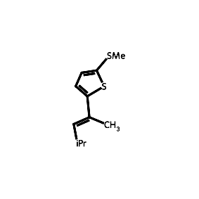 CSc1ccc(/C(C)=C/C(C)C)s1